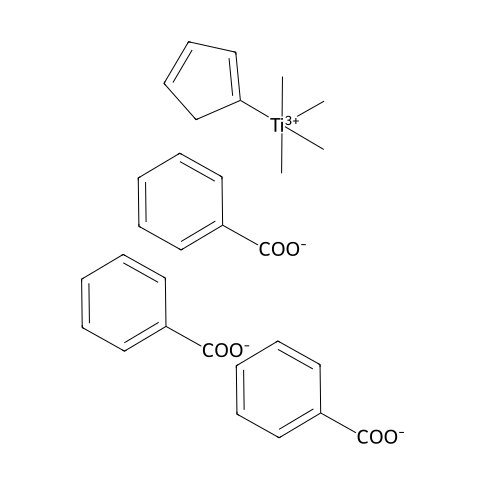 O=C([O-])c1ccccc1.O=C([O-])c1ccccc1.O=C([O-])c1ccccc1.[CH3][Ti+3]([CH3])([CH3])([CH3])[C]1=CC=CC1